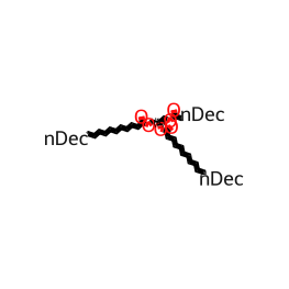 CCCCCCCCCCCCCCCCCCCCC(=O)OC[C@@H](COC(=O)CCCCCCCCCCC)OC(=O)CCCCCCCCCCCCCCCCCCCC